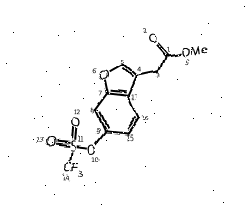 COC(=O)Cc1coc2cc(OS(=O)(=O)C(F)(F)F)ccc12